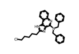 ClCCCCCc1nc2c(N(Cc3ccccc3)Cc3ccccc3)nc3ccccc3c2[nH]1